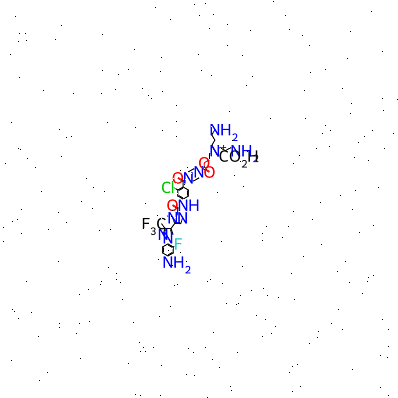 Cn1c(-c2cn(-c3ccc(N)cc3F)nc2C(F)(F)F)cnc1C(=O)Nc1ccc(C(=O)N2CCN(C(=O)OCC[N+](CCCN)(CCCN)CC(=O)O)CC2)c(Cl)c1